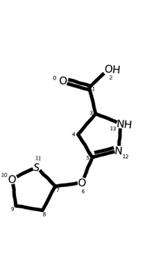 O=C(O)C1CC(OC2CCOS2)=NN1